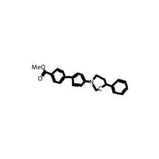 COC(=O)c1ccc(-c2ccc(N3CCC(c4ccccc4)CC3)cc2)cc1